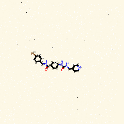 O=C(NCc1ccncc1)Nc1ccc(C(=O)NCc2ccc(Br)cc2)cc1